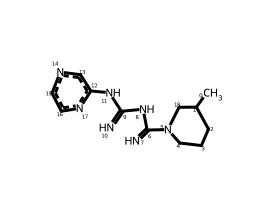 CC1CCCN(C(=N)NC(=N)Nc2cnccn2)C1